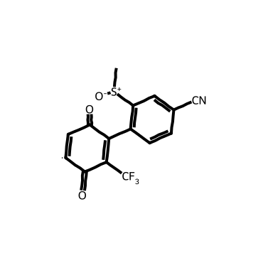 C[S+]([O-])c1cc(C#N)ccc1C1=C(C(F)(F)F)C(=O)[C]=CC1=O